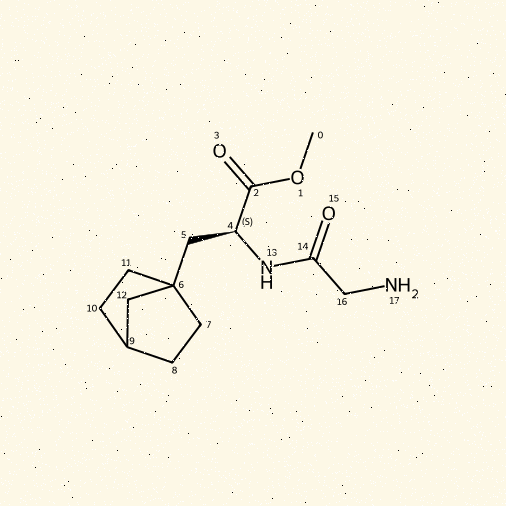 COC(=O)[C@H](CC12CCC(CC1)C2)NC(=O)CN